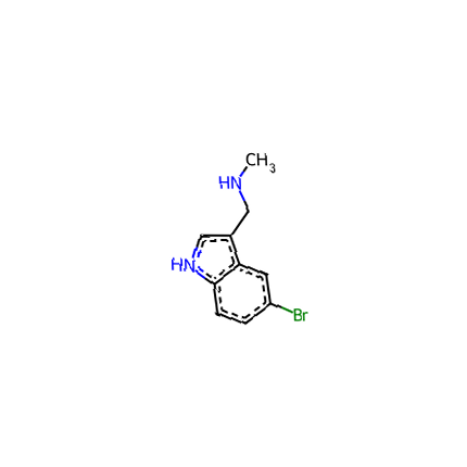 CNCc1c[nH]c2ccc(Br)cc12